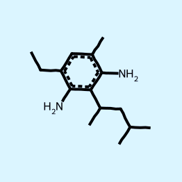 CCc1cc(C)c(N)c(C(C)CC(C)C)c1N